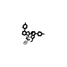 CCC1=Cc2c(-c3ccc(C)cc3)cccc2[CH]1[Zr+2]1([CH]2C(CC)=Cc3c(-c4ccc(C)cc4)cccc32)[CH2]C[CH2]1.[Cl-].[Cl-]